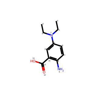 CCN(CC)c1ccc(N)c(C(=O)O)c1